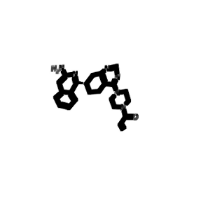 C=CC(=O)N1CCN(c2ncnc3c2CC[C@H](c2nc(N)cc4ccccc24)C3)CC1